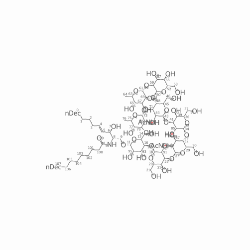 CCCCCCCCCCCCC/C=C/[C@@H](O)[C@H](CO[C@@H]1OC(CO)[C@@H](O[C@@H]2OC(CO)[C@H](O)[C@H](O[C@@H]3OC(CO)[C@@H](O[C@@H]4OC(CO)[C@H](O)[C@H](O[C@@H]5OC(CO)[C@@H](O[C@@H]6OC(CO)[C@H](O)[C@H](O)C6O[C@H]6OC(C)[C@@H](O)C(O)[C@@H]6O)[C@H](O[C@H]6OC(C)[C@@H](O)C(O)[C@@H]6O)C5NC(C)=O)C4O)[C@H](O)C3NC(C)=O)C2O)[C@H](O)C1O)NC(=O)CCCCCCCCCCCCCCCCC